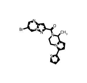 CC1c2ccc(-c3cccs3)n2CCN1C(=O)c1cc2ncc(Br)cn2n1